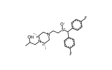 CC(O)CN1[C@H](C)CN(CC[S+]([O-])C(c2ccc(F)cc2)c2ccc(F)cc2)C[C@@H]1C